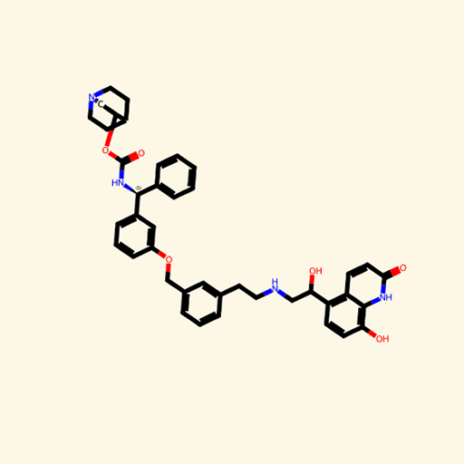 O=C(N[C@@H](c1ccccc1)c1cccc(OCc2cccc(CCNCC(O)c3ccc(O)c4[nH]c(=O)ccc34)c2)c1)OC1CN2CCC1CC2